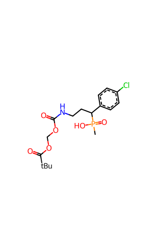 CC(C)(C)C(=O)OCOC(=O)NCCC(c1ccc(Cl)cc1)P(C)(=O)O